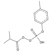 Cc1ccc(OP(=O)(O)OOC(=O)C(C)C)cc1